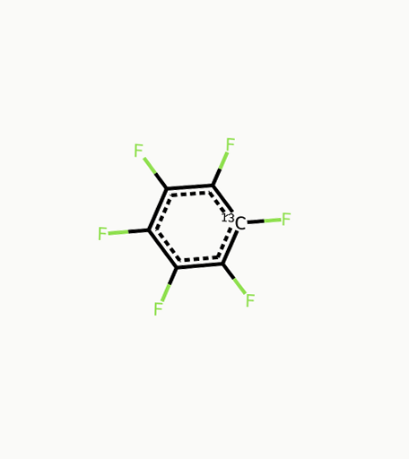 Fc1c(F)c(F)[13c](F)c(F)c1F